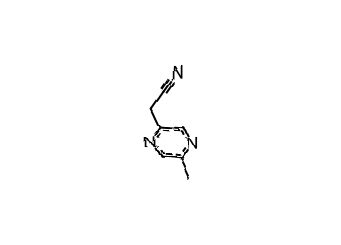 Cc1cnc(CC#N)cn1